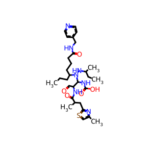 CCCC(CCCC(=O)NCc1ccncc1)N(NC(C)CC)C(NC(=O)O)C(C=O)NC(=O)C(C)Cc1nc(C)cs1